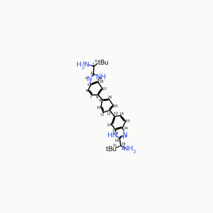 CC(C)(C)C(N)c1nc2ccc(-c3ccc(-c4ccc5nc([C@@H](N)C(C)(C)C)[nH]c5c4)cc3)cc2[nH]1